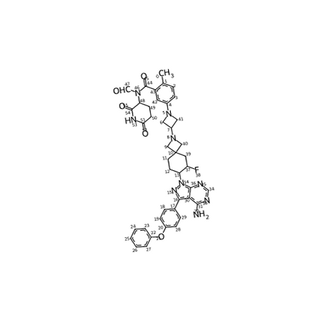 Cc1ccc(N2CC(N3CC4(CCC(n5nc(-c6ccc(Oc7ccccc7)cc6)c6c(N)ncnc65)C(F)C4)C3)C2)cc1C(=O)N(C=O)C1CCC(=O)NC1=O